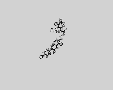 CC(CCCn1ccc2cc(-c3ncc(Cl)cn3)c(F)cc2c1=O)Nc1cn[nH]c(=O)c1C(F)(F)F